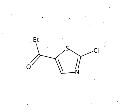 CCC(=O)c1cnc(Cl)s1